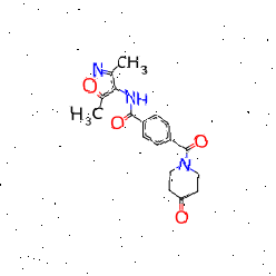 Cc1noc(C)c1NC(=O)c1ccc(C(=O)N2CCC(=O)CC2)cc1